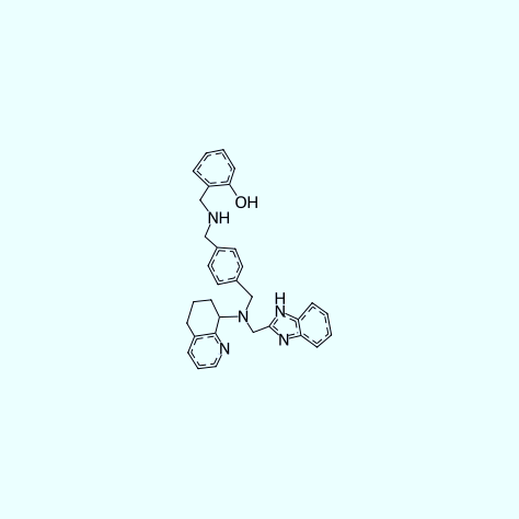 Oc1ccccc1CNCc1ccc(CN(Cc2nc3ccccc3[nH]2)C2CCCc3cccnc32)cc1